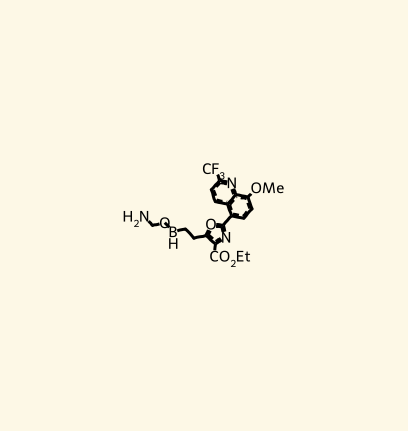 CCOC(=O)c1nc(-c2ccc(OC)c3nc(C(F)(F)F)ccc23)oc1CCBOCN